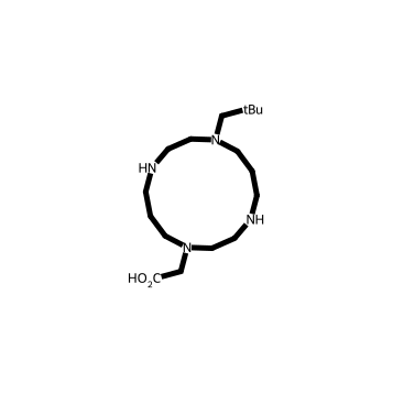 CC(C)(C)CN1CCCNCCN(CC(=O)O)CCCNCC1